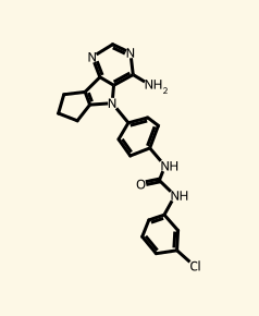 Nc1ncnc2c3c(n(-c4ccc(NC(=O)Nc5cccc(Cl)c5)cc4)c12)CCC3